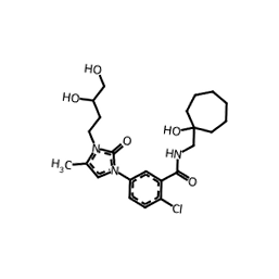 Cc1cn(-c2ccc(Cl)c(C(=O)NCC3(O)CCCCCC3)c2)c(=O)n1CCC(O)CO